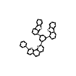 c1ccc(-c2ccc3ccc4ccc(-c5cc(-c6cccc7c6sc6ccccc67)cc(-c6cccc7c6sc6ccccc67)c5)nc4c3n2)cc1